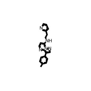 Cc1ccc(-c2cnn3c(NCCc4cccnc4)ccnc23)cc1